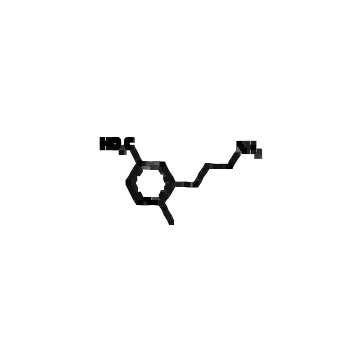 Cc1ccc(C(=O)O)cc1CCCN